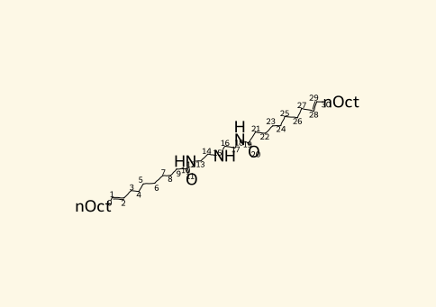 CCCCCCCCC=CCCCCCCCC(=O)NCCNCCNC(=O)CCCCCCCC=CCCCCCCCC